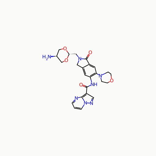 N[C@H]1CO[C@H](CN2Cc3cc(NC(=O)c4cnn5cccnc45)c(N4CCOCC4)cc3C2=O)OC1